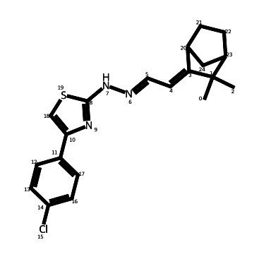 CC1(C)C(=CC=NNc2nc(-c3ccc(Cl)cc3)cs2)C2CCC1C2